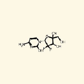 N#C[C@]1(CO)O[C@@H](N2C=CC(N)=NC2O)C(F)(F)[C@@H]1O